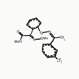 CO/N=C(/C(=O)OC)c1ccccc1O/N=C(/C)c1cccc(C(F)(F)F)c1